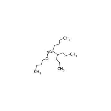 CCCCON=[Si](CCCC)C(CCC)CCC